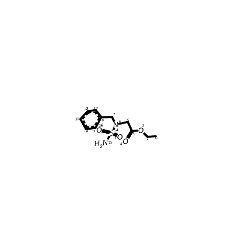 CCOC(=O)CN(Cc1ccccc1)S(N)(=O)=O